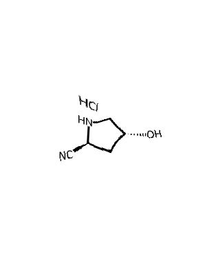 Cl.N#C[C@@H]1C[C@@H](O)CN1